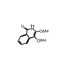 COc1[nH]c(=O)c2ccccc2c1OC